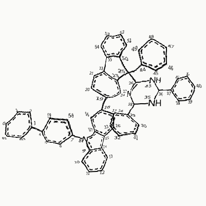 c1ccc(-c2ccc(-n3c4ccccc4c4ccc(-c5ccc6c(c5)C(C5=NC(c7ccccc7)NC(c7ccccc7)N5)(c5ccccc5)c5ccccc5-6)cc43)cc2)cc1